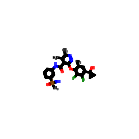 Cc1cc(C2(O)CC2)c(F)c(F)c1Oc1nnc(C(F)(F)F)c(C)c1C(=O)Nc1cccc(S(C)(=N)=O)c1